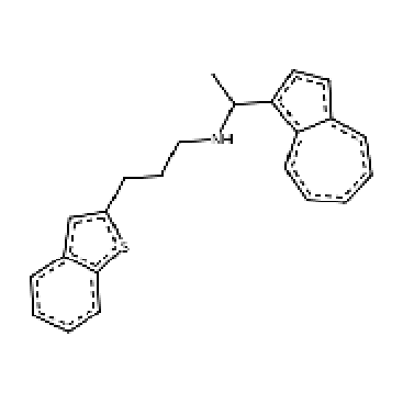 CC(NCCCc1cc2ccccc2s1)c1ccc2cccccc1-2